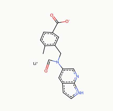 Cc1ccc(C(=O)[O-])cc1CN(C=O)c1cnc2[nH]ccc2c1.[Li+]